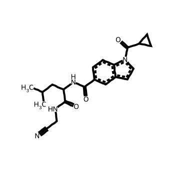 CC(C)CC(NC(=O)c1ccc2c(ccn2C(=O)C2CC2)c1)C(=O)NCC#N